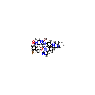 C[C@@H]1Cn2c(c(C(=O)NCc3ccccc3-c3ccncn3)n(-c3ccc(N4CCN(C)[C@H](C(F)(F)F)C4)cc3)c2=O)CN1C(=O)c1ccc(Br)c(C(F)(F)F)c1